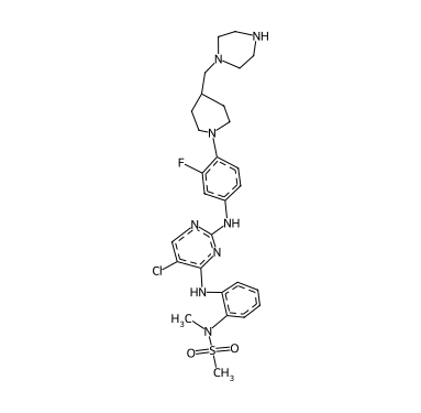 CN(c1ccccc1Nc1nc(Nc2ccc(N3CCC(CN4CCNCC4)CC3)c(F)c2)ncc1Cl)S(C)(=O)=O